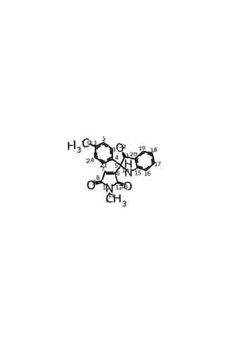 Cc1ccc(C2(C3=CC(=O)N(C)C3=O)Nc3ccccc3C2=O)cc1